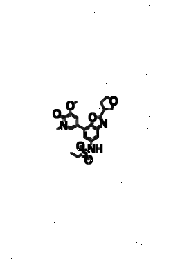 CCS(=O)(=O)Nc1cc(-c2cc(OC)c(=O)n(C)c2)c2oc(C3CCOC3)nc2c1